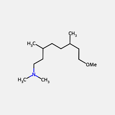 COCCC(C)CCC(C)CCN(C)C